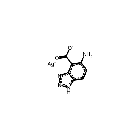 Nc1ccc2[nH]nnc2c1C(=O)[O-].[Ag+]